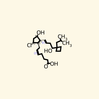 CC(C)CC1(C(O)C/C=C/[C@@H]2[C@@H](C/C=C\CCCC(=O)O)[C@H](Cl)C[C@H]2O)CCC1